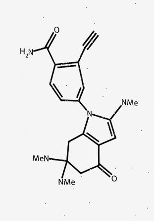 C#Cc1cc(-n2c(NC)cc3c2CC(NC)(NC)CC3=O)ccc1C(N)=O